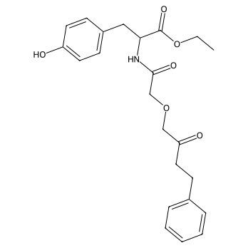 CCOC(=O)C(Cc1ccc(O)cc1)NC(=O)COCC(=O)CCc1ccccc1